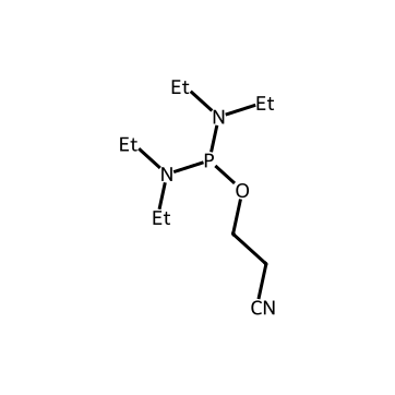 CCN(CC)P(OCCC#N)N(CC)CC